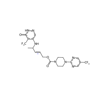 CC(/C=C/COC(=O)N1CCN(c2ncc(C(F)(F)F)cn2)CC1)Nc1cn[nH]c(=O)c1C(F)(F)F